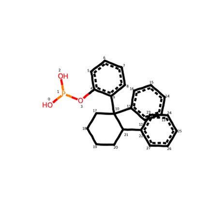 OP(O)Oc1ccccc1C1(c2ccccc2)CCCCC1c1ccccc1